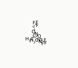 Cc1cc(OCC2CC2C(F)(F)F)nc(Oc2cc(C(F)(F)F)nn2C)c1